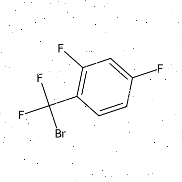 Fc1ccc(C(F)(F)Br)c(F)c1